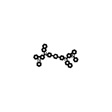 C1=CC(c2ccc(N(c3ccc4ccccc4c3)c3ccc4c(c3)c3ccccc3n4-c3ccccc3)cc2)CC=C1c1ccc(N(c2ccc3ccccc3c2)c2ccc3c4ccccc4n(-c4ccccc4)c3c2)cc1